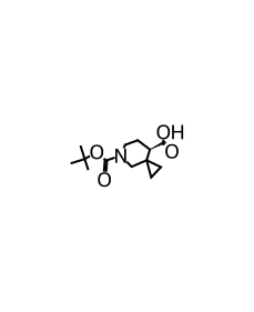 CC(C)(C)OC(=O)N1CC[C@@H](C(=O)O)C2(CC2)C1